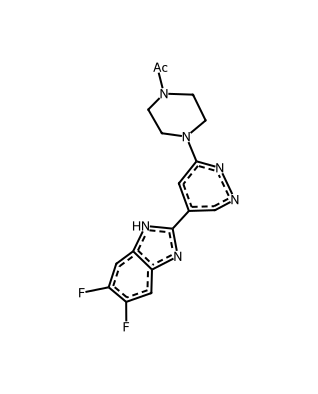 CC(=O)N1CCN(c2cc(-c3nc4cc(F)c(F)cc4[nH]3)cnn2)CC1